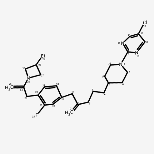 C=C(CCCC1CCN(c2ncc(Cl)cn2)CC1)Cc1ccc(CC(=C)N2CC(CC)C2)c(F)c1